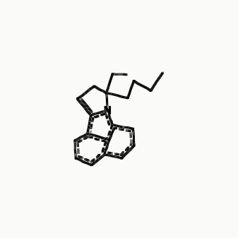 CCCCC1(CC)CC=c2c3cccc4cccc(c43)n21